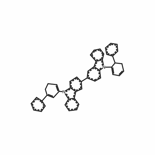 C1=CCC(c2ccccc2)C(n2c3ccccc3c3cc(-c4ccc5c(c4)c4ccccc4n5C4=CCCC(c5ccccc5)=C4)ccc32)=C1